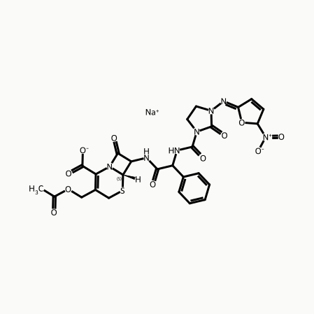 CC(=O)OCC1=C(C(=O)[O-])N2C(=O)C(NC(=O)C(NC(=O)N3CCN(N=C4C=CC([N+](=O)[O-])O4)C3=O)c3ccccc3)[C@@H]2SC1.[Na+]